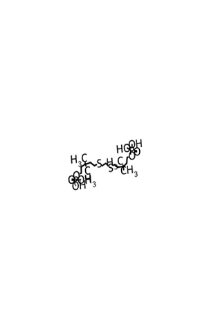 CC(C)(CCOP(=O)(O)O)CCSCCSCCC(C)(C)CCOP(=O)(O)O